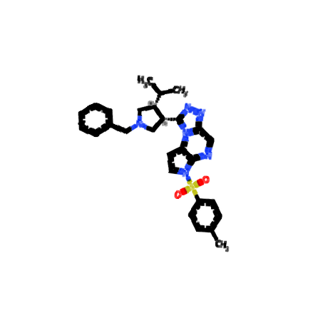 Cc1ccc(S(=O)(=O)n2ccc3c2ncc2nnc([C@@H]4CN(Cc5ccccc5)C[C@@H]4C(C)C)n23)cc1